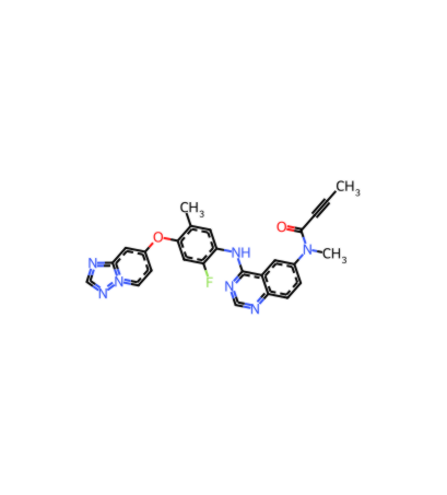 CC#CC(=O)N(C)c1ccc2ncnc(Nc3cc(C)c(Oc4ccn5ncnc5c4)cc3F)c2c1